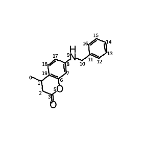 CC1CC(=O)Oc2cc(NCc3ccccc3)ccc21